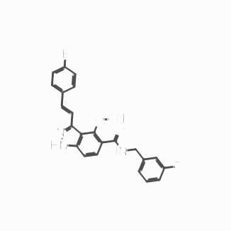 COc1c(C(=O)NCc2cccc(F)c2)ccc2[nH]nc(C=Cc3ccc(F)cc3)c12